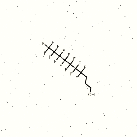 OCCCC(F)(F)C(F)(F)C(F)(F)C(F)(F)C(F)(F)C(F)(F)C(F)(F)I